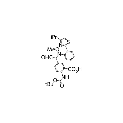 CON(c1ccccc1-c1nc(C(C)C)cs1)C(C=O)c1ccc(NC(=O)OC(C)(C)C)c(C(=O)O)c1